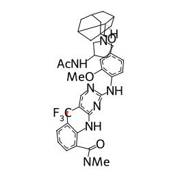 CNC(=O)c1cccc(C)c1Nc1nc(Nc2ccc(O[C@]34CC5CC(C3)[C@H](N3CCC(NC(C)=O)C3)C(C5)C4)cc2OC)ncc1C(F)(F)F